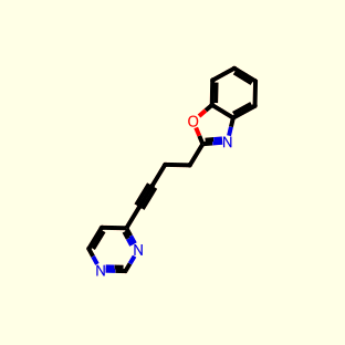 C(#Cc1ccncn1)CCc1nc2ccccc2o1